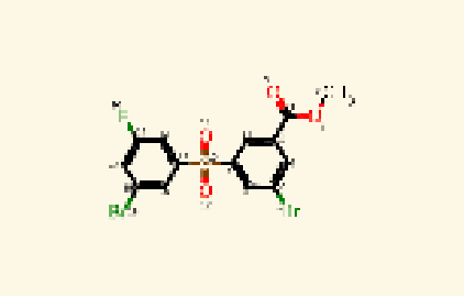 COC(=O)c1cc(Br)cc(S(=O)(=O)c2cc(F)cc(Br)c2)c1